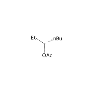 CCCC[C@@H](CC)OC(C)=O